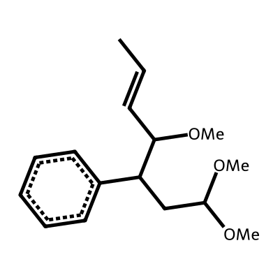 CC=CC(OC)C(CC(OC)OC)c1ccccc1